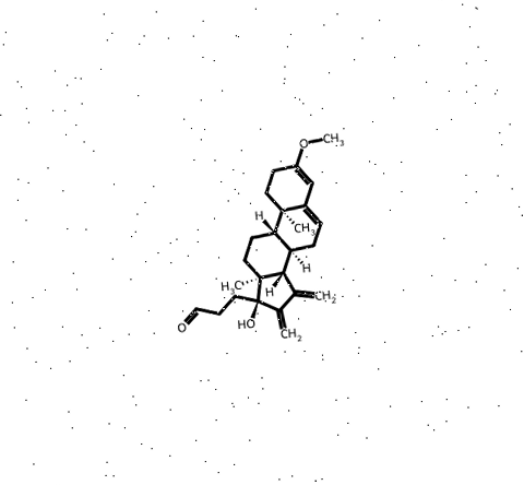 C=C1C(=C)[C@](O)(CCC=O)[C@@]2(C)CC[C@H]3[C@@H](CC=C4C=C(OC)CC[C@@]43C)[C@H]12